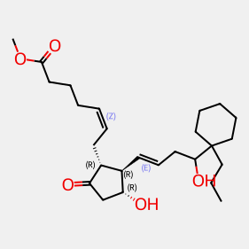 CCCC1(C(O)C/C=C/[C@H]2[C@H](O)CC(=O)[C@@H]2C/C=C\CCCC(=O)OC)CCCCC1